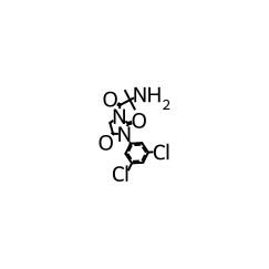 CC(C)(N)C(=O)N1CC(=O)N(c2cc(Cl)cc(Cl)c2)C1=O